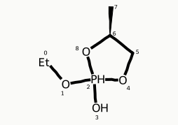 CCO[PH]1(O)OC[C@H](C)O1